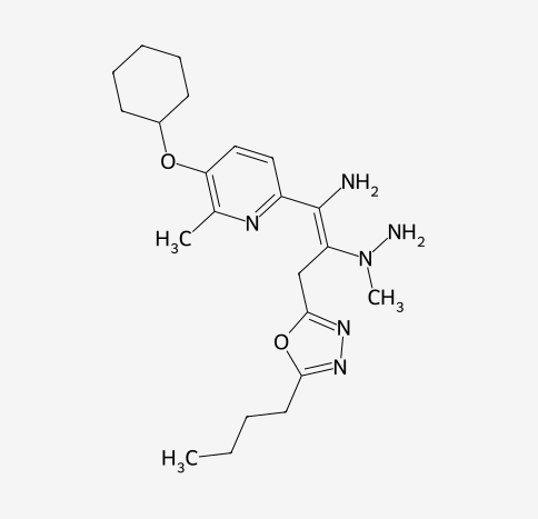 CCCCc1nnc(C/C(=C(/N)c2ccc(OC3CCCCC3)c(C)n2)N(C)N)o1